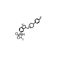 CC(=O)Nc1ccc2c(c1)C(CN1CCC(c3ccc(F)cc3)CC1)CS2